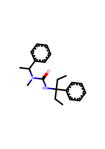 CCC(CC)(NC(=O)N(C)C(C)c1ccccc1)c1ccccc1